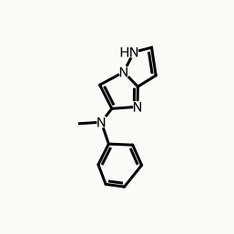 CN(c1ccccc1)c1cn2[nH]ccc2n1